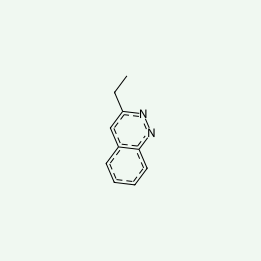 CCc1cc2ccccc2nn1